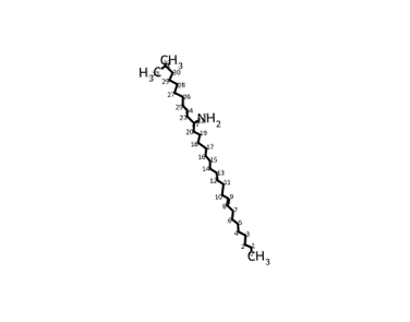 CCCCCCCC/C=C/CCCCCCCCCCCC(N)CCCCCCCCC(C)C